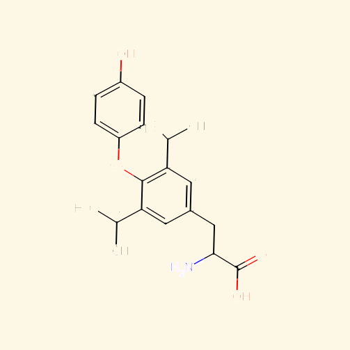 CC(C)c1cc(CC(N)C(=O)O)cc(C(C)C)c1Oc1ccc(O)cc1